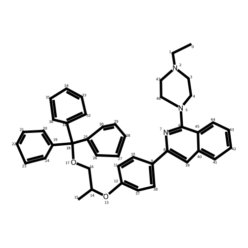 CCN1CCN(c2nc(-c3ccc(OC(C)COC(c4ccccc4)(c4ccccc4)c4ccccc4)cc3)cc3ccccc23)CC1